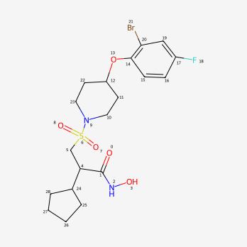 O=C(NO)C(CS(=O)(=O)N1CCC(Oc2ccc(F)cc2Br)CC1)C1CCCC1